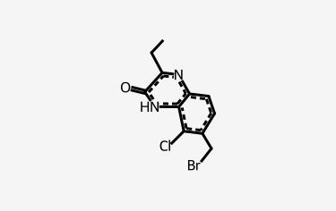 CCc1nc2ccc(CBr)c(Cl)c2[nH]c1=O